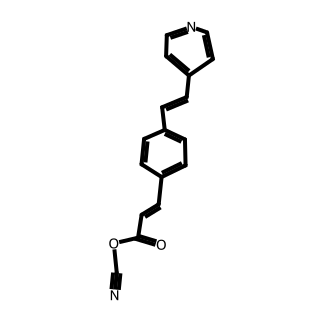 N#COC(=O)C=Cc1ccc(C=Cc2ccncc2)cc1